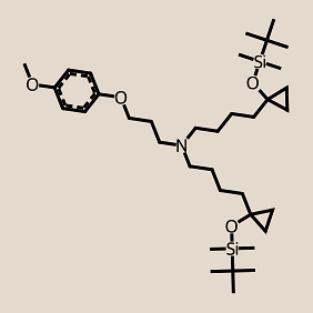 COc1ccc(OCCCN(CCCCC2(O[Si](C)(C)C(C)(C)C)CC2)CCCCC2(O[Si](C)(C)C(C)(C)C)CC2)cc1